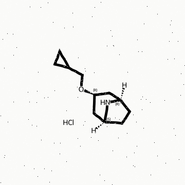 C1CC1CO[C@H]1C[C@H]2CC[C@@H](C1)N2.Cl